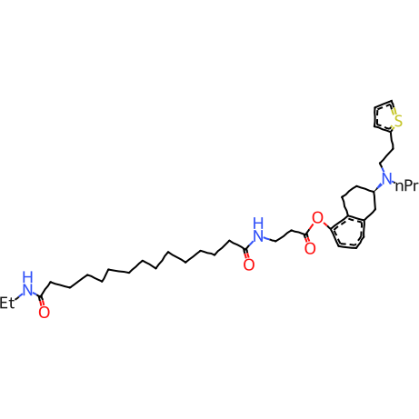 CCCN(CCc1cccs1)[C@@H]1CCc2c(cccc2OC(=O)CCNC(=O)CCCCCCCCCCCCCC(=O)NCC)C1